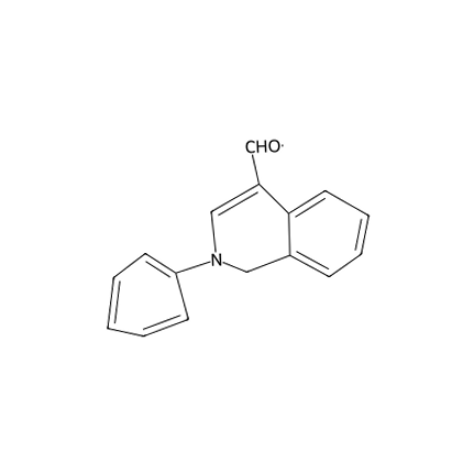 O=[C]C1=CN(c2ccccc2)Cc2ccccc21